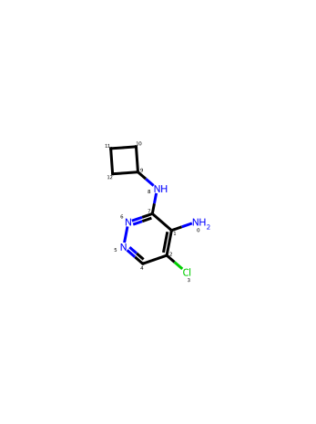 Nc1c(Cl)cnnc1NC1CCC1